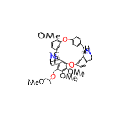 COCC(C)OCc1c2c3c(c(OC)c1OC)Oc1ccc4c(c1)[C@H](Cc1ccc(cc1)Oc1cc(ccc1OC)C[C@@H]3N(C)CC2)N(C)CC4